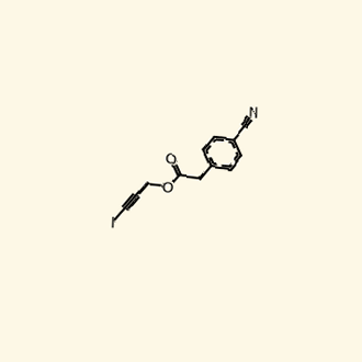 N#Cc1ccc(CC(=O)OCC#CI)cc1